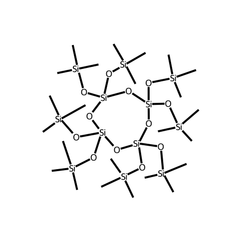 C[Si](C)(C)O[Si]1(O[Si](C)(C)C)O[Si](O[Si](C)(C)C)(O[Si](C)(C)C)O[Si](O[Si](C)(C)C)(O[Si](C)(C)C)O[Si](O[Si](C)(C)C)(O[Si](C)(C)C)O1